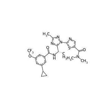 Cc1nc([C@H](C)NC(=O)c2cc(OC(F)(F)F)cc(C3CC3)c2)n(-c2ncc(C(=O)N(C)C)s2)n1